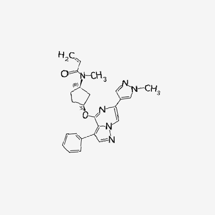 C=CC(=O)N(C)[C@@H]1CC[C@H](Oc2nc(-c3cnn(C)c3)cn3ncc(-c4ccccc4)c23)C1